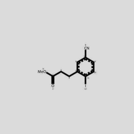 COC(=O)CCc1cc(C#N)ccc1I